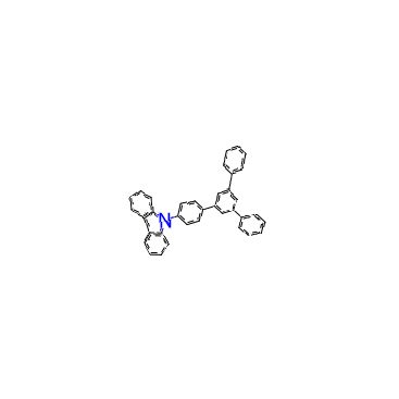 c1ccc(-c2cc(-c3ccccc3)cc(-c3ccc(-n4c5ccccc5c5ccccc54)cc3)c2)cc1